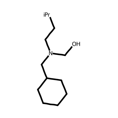 CC(C)CCN(CO)CC1CCCCC1